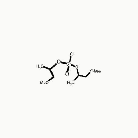 COCC(C)[O][Zr]([Cl])([Cl])[O]C(C)COC